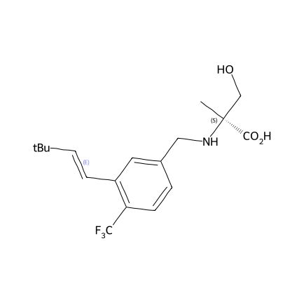 CC(C)(C)/C=C/c1cc(CN[C@@](C)(CO)C(=O)O)ccc1C(F)(F)F